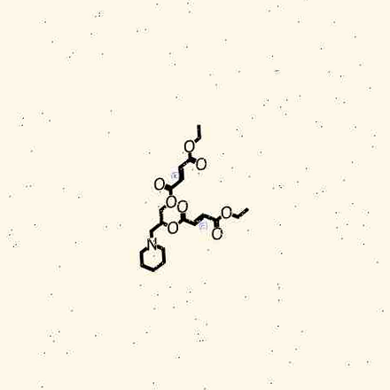 CCOC(=O)/C=C/C(=O)OCC(CN1CCCCC1)OC(=O)/C=C/C(=O)OCC